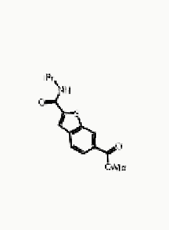 COC(=O)c1ccc2cc(C(=O)NC(C)C)sc2c1